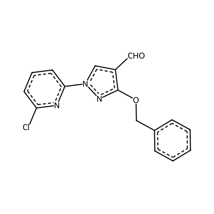 O=Cc1cn(-c2cccc(Cl)n2)nc1OCc1ccccc1